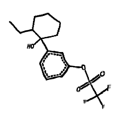 CCC1CCCCC1(O)c1cccc(OS(=O)(=O)C(F)(F)F)c1